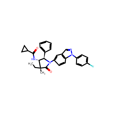 CC[C@@]1(C)C(=O)N(c2ccc3c(cnn3-c3ccc(F)cc3)c2)[C@H](c2ccccc2)[C@H]1NC(=O)C1CC1